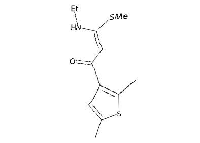 CCNC(=CC(=O)c1cc(C)sc1C)SC